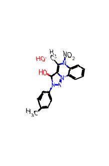 CC1=C2C(O)N(c3ccc(C)cc3)N=[N+]2c2ccccc2N1[N+](=O)[O-].[OH-]